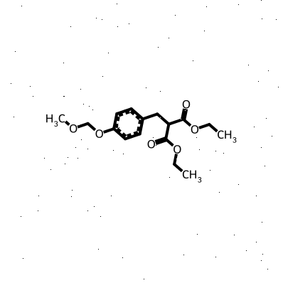 CCOC(=O)C(Cc1ccc(OCOC)cc1)C(=O)OCC